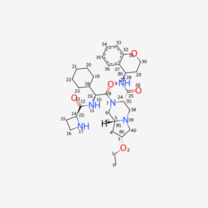 CCO[C@@H]1C[C@@H]2CN(C(=O)[C@@H](NC(=O)[C@@H]3CCN3)C3CCCCC3)[C@H](C(=O)N[C@@H]3CCOc4ccccc43)CN2C1